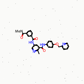 CNC(=O)c1cccc(C(=O)Nc2cnc(C)c(C(=O)Nc3ccc(OCc4ccccn4)cc3)c2)c1